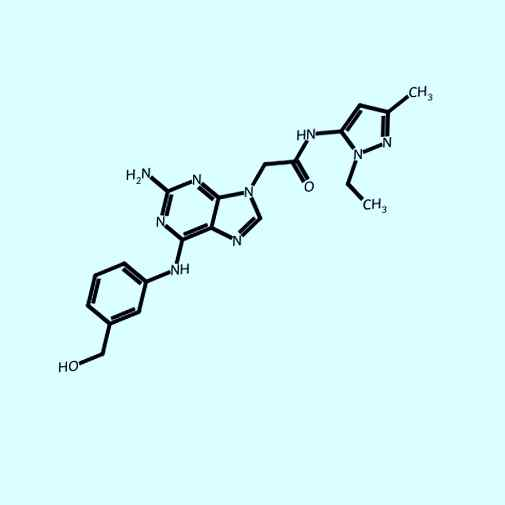 CCn1nc(C)cc1NC(=O)Cn1cnc2c(Nc3cccc(CO)c3)nc(N)nc21